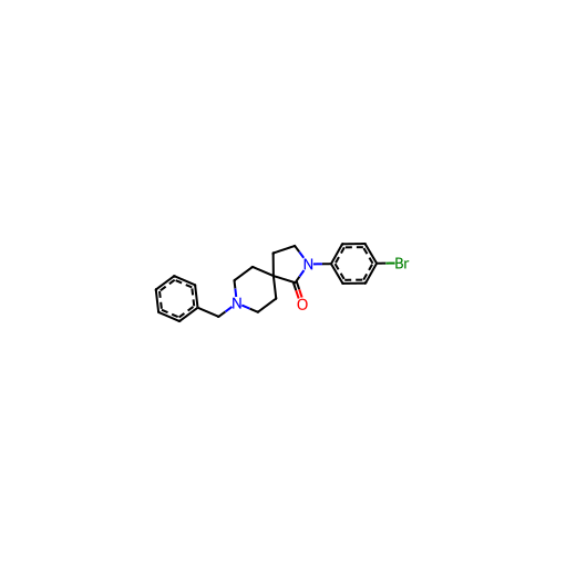 O=C1N(c2ccc(Br)cc2)CCC12CCN(Cc1ccccc1)CC2